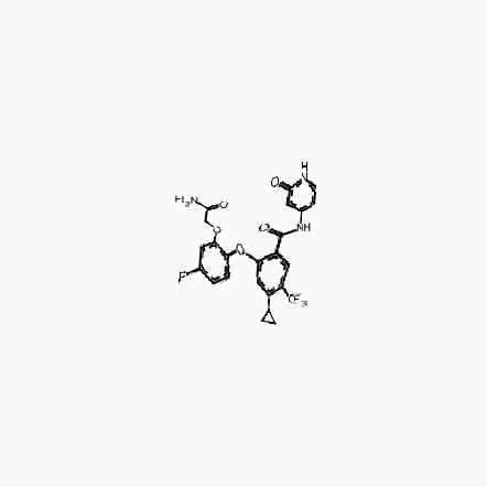 NC(=O)COc1cc(F)ccc1Oc1cc(C2CC2)c(C(F)(F)F)cc1C(=O)Nc1cc[nH]c(=O)c1